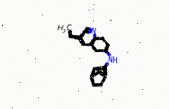 CCc1cnc2c(c1)CC(NC1CC3CCC1C3)CC2